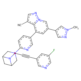 Cn1cc(-c2cc(-c3ccc(N4CC5CC(C4)N5CC#Cc4cncc(F)c4)nc3)c3c(C#N)cnn3c2)cn1